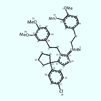 Br.COc1ccc(CCN=c2scc(C3(c4ccc(Cl)cc4)CCCC3)n2CCc2ccc(OC)c(OC)c2)cc1OC